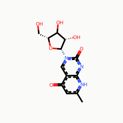 Cc1cc(=O)c2cn([C@@H]3O[C@H](CO)C(O)[C@@H]3O)c(=O)nc2[nH]1